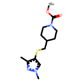 Cc1nn(C)cc1SCC1CCN(C(=O)OC(C)(C)C)CC1